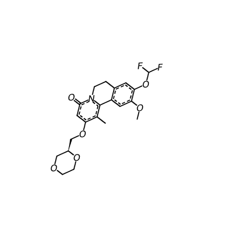 COc1cc2c(cc1OC(F)F)CCn1c-2c(C)c(OC[C@@H]2COCCO2)cc1=O